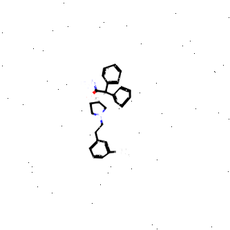 Cc1cccc(CCN2CC[C@H](C(C(N)=O)(c3ccccc3)c3ccccc3)C2)c1